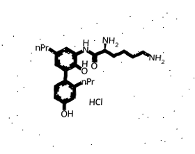 CCCc1cc(NC(=O)[C@@H](N)CCCCN)c(O)c(-c2ccc(O)cc2CCC)c1.Cl